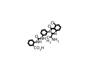 CC(N)c1nc2cccc(Cl)c2c(=O)n1-c1cccc(NC(=O)Nc2ccccc2C(=O)O)c1